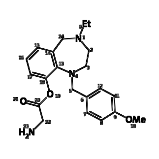 CCN1CCN(Cc2ccc(OC)cc2)c2c(cccc2OC(=O)CN)C1